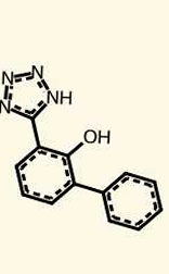 Oc1c(-c2ccccc2)cccc1-c1nnn[nH]1